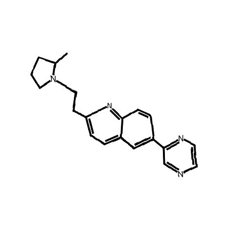 CC1CCCN1CCc1ccc2cc(-c3cnccn3)ccc2n1